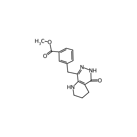 COC(=O)c1cccc(Cc2n[nH]c(=O)c3c2NCCC3)c1